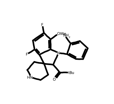 COc1c(F)cc(F)c2c1N(c1ccccc1N)C(C(=O)C(C)(C)C)C21CCNCC1